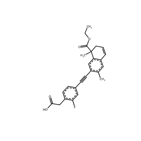 CCOC(=O)C1(C)CC=Cc2cc(C)c(C#Cc3ccc(CC(=O)O)c(F)c3)cc21